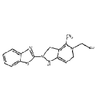 CCC(C)CN1CC=C2NN(c3nc4ccccc4s3)CC2=C1C